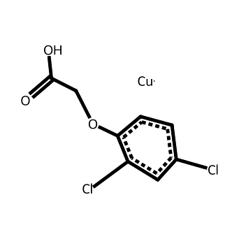 O=C(O)COc1ccc(Cl)cc1Cl.[Cu]